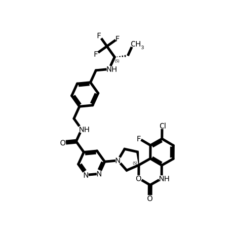 CC[C@H](NCc1ccc(CNC(=O)c2cnnc(N3CC[C@]4(C3)OC(=O)Nc3ccc(Cl)c(F)c34)c2)cc1)C(F)(F)F